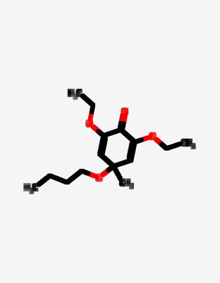 CCCCOC1(C)C=C(OCC)C(=O)C(OCC)=C1